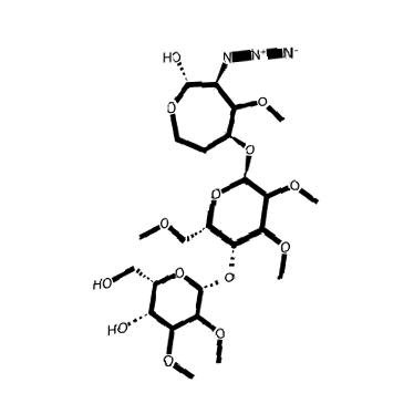 COC[C@@H]1O[C@@H](O[C@H]2CCO[C@H](O)[C@@H](N=[N+]=[N-])C2OC)C(OC)C(OC)[C@@H]1O[C@H]1O[C@@H](CO)[C@@H](O)C(OC)C1OC